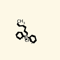 C\C=C/C=C\C=C\[PH](C)(c1ccccc1)c1ccccc1